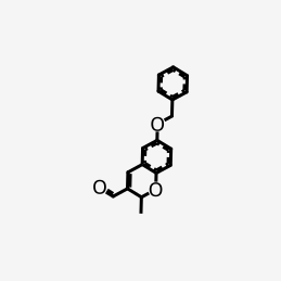 CC1Oc2ccc(OCc3ccccc3)cc2C=C1C=O